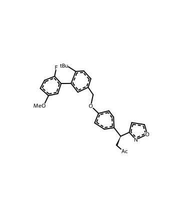 COc1ccc(F)c(-c2cc(COc3ccc([C@H](CC(C)=O)c4ccon4)cc3)ccc2C(C)(C)C)c1